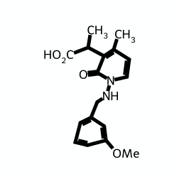 COc1cccc(CNn2ccc(C)c(C(C)C(=O)O)c2=O)c1